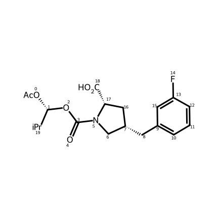 CC(=O)O[C@H](OC(=O)N1C[C@@H](Cc2cccc(F)c2)C[C@H]1C(=O)O)C(C)C